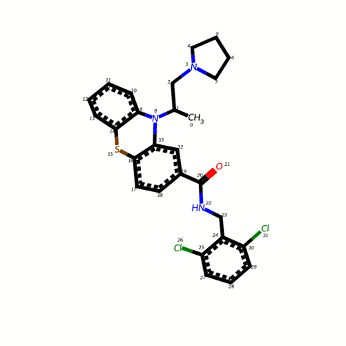 CC(CN1CCCC1)N1c2ccccc2Sc2ccc(C(=O)NCc3c(Cl)cccc3Cl)cc21